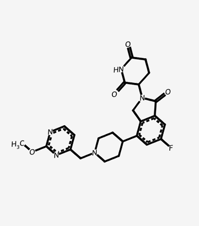 COc1nccc(CN2CCC(c3cc(F)cc4c3CN(C3CCC(=O)NC3=O)C4=O)CC2)n1